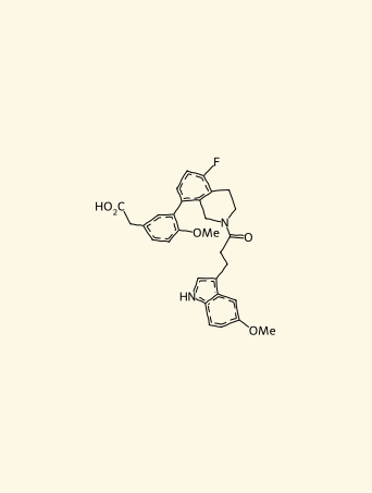 COc1ccc2[nH]cc(CCC(=O)N3CCc4c(F)ccc(-c5cc(CC(=O)O)ccc5OC)c4C3)c2c1